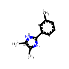 Cc1cccc(-c2nc(C)c(C)[nH]2)c1